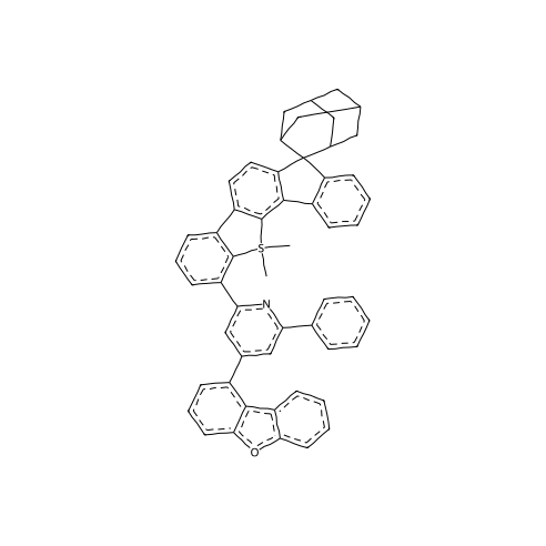 CS1(C)c2c(-c3cc(-c4cccc5oc6ccccc6c45)cc(-c4ccccc4)n3)cccc2-c2ccc3c(c21)-c1ccccc1C31C2CC3CC(C2)CC1C3